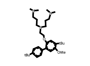 COc1cc(-c2ccc(C(C)(C)C)cc2)c(OCCN(CCCN(C)C)CCCN(C)C)cc1C(C)(C)C